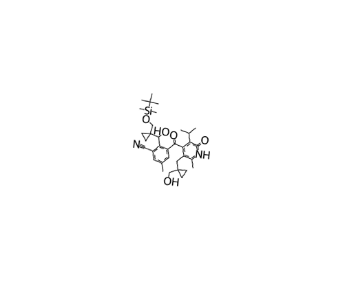 Cc1cc(C#N)c(C(O)C2(CO[Si](C)(C)C(C)(C)C)CC2)c(C(=O)c2c(CC3(CO)CC3)c(C)[nH]c(=O)c2C(C)C)c1